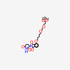 CC(C)(C)OC(=O)CCOCCOCCCCCOc1cccc2c1C(=O)N(C1CCC(=O)NC1=O)C2=O